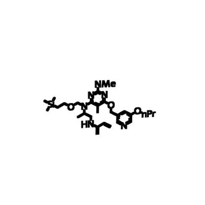 C=CC(=C)NCC(C)N(COCC[Si](C)(C)C)c1nc(NC)nc(OCc2cncc(OCCC)c2)c1C